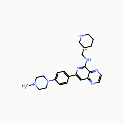 CN1CCN(c2ccc(-c3cc4nccnc4c(NC[C@@H]4CCCNC4)n3)cc2)CC1